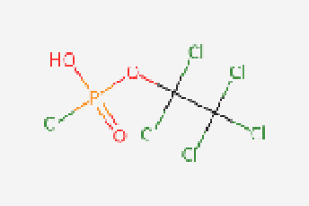 O=P(O)(Cl)OC(Cl)(Cl)C(Cl)(Cl)Cl